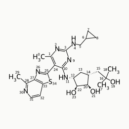 Cc1nc(NCC2CC2)nc(N[C@@H]2C[C@H](CC(C)(C)O)[C@@H](O)[C@H]2O)c1-c1nc2c(C)nccc2s1